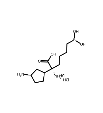 Cl.Cl.N[C@@H]1CC[C@H]([C@](N)(CCCCB(O)O)C(=O)O)C1